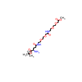 COC(=O)COCCOCCNC(=O)COCCOCCNC(=O)CC[C@@H](N)C(=O)OC(C)(C)C